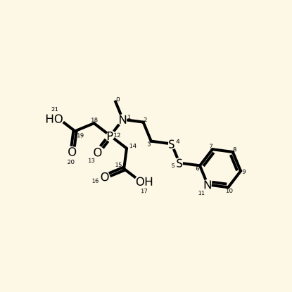 CN(CCSSc1ccccn1)P(=O)(CC(=O)O)CC(=O)O